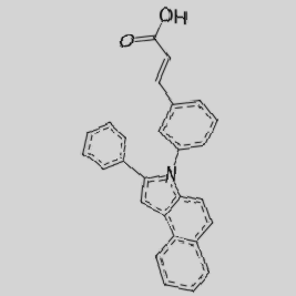 O=C(O)C=Cc1cccc(-n2c(-c3ccccc3)cc3c4ccccc4ccc32)c1